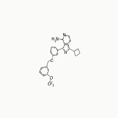 Nc1nccn2c(C3CCC3)nc(-c3cccc(OCc4cccc(OC(F)(F)F)c4)c3)c12